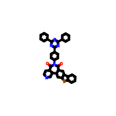 O=c1c2ccncc2c2cc3sc4ccccc4c3cc2c(=O)n1-c1ccc(-c2nc(-c3ccccc3)nc(-c3ccccc3)n2)cc1